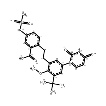 COc1c(CCc2ccc(NS(C)(=O)=O)cc2C(=O)O)cc(-n2ccc(=O)[nH]c2=O)cc1C(C)(C)C